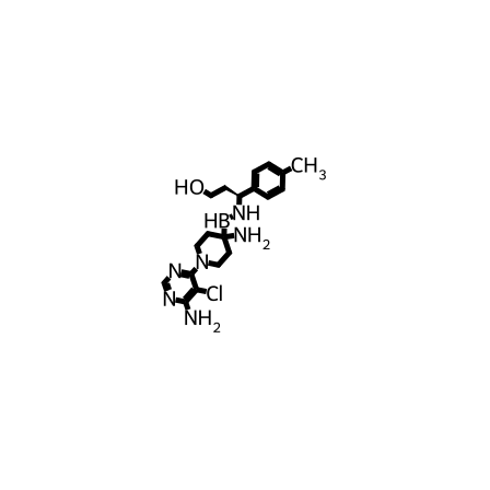 Cc1ccc([C@H](CCO)NBC2(N)CCN(c3ncnc(N)c3Cl)CC2)cc1